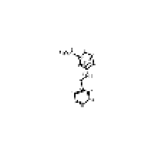 CCOC(=O)N1CC2CCC1C(NCc1ccccc1)C2